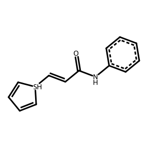 O=C(C=C[SH]1C=CC=C1)Nc1ccccc1